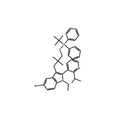 CCn1c(-c2cccnc2C(C)C)c(CC(C)(C)CO[Si](c2ccccc2)(c2ccccc2)C(C)(C)C)c2cc(Br)ccc21